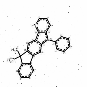 CC1(C)c2ccccc2-c2cc3c(cc21)c1ncccc1n3-c1ccccc1